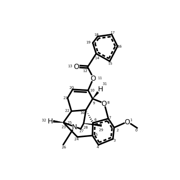 COc1ccc2c3c1O[C@H]1C(OC(=O)c4ccccc4)=CCC4[C@@H](C2)N(C)C[C@H](C)[C@@]341